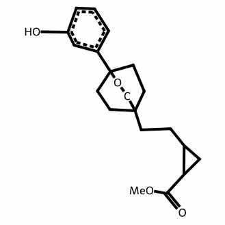 COC(=O)C1CC1CCC12CCC(c3cccc(O)c3)(CC1)OC2